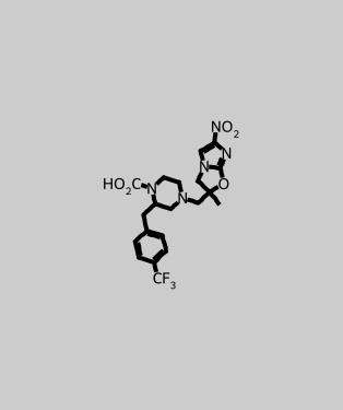 CC1(CN2CCN(C(=O)O)C(Cc3ccc(C(F)(F)F)cc3)C2)Cn2cc([N+](=O)[O-])nc2O1